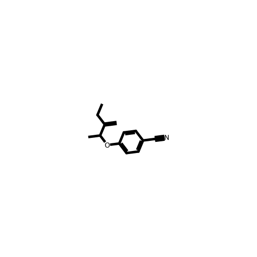 C=C(CC)C(C)Oc1ccc(C#N)cc1